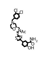 CC(=O)N(C[C@@H]1CN(Cc2ccc(Cl)c(Cl)c2)CCO1)Sc1nc(-c2ccc(O)c(C(N)=O)c2)cs1